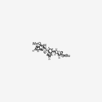 COc1nc(NC(=O)c2ccc(N3CC[C@@H](N(C)C(=O)OC(C)(C)C)C3)c3cn(C)nc23)nc2cn(C)nc12